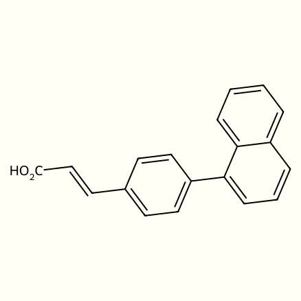 O=C(O)C=Cc1ccc(-c2cccc3ccccc23)cc1